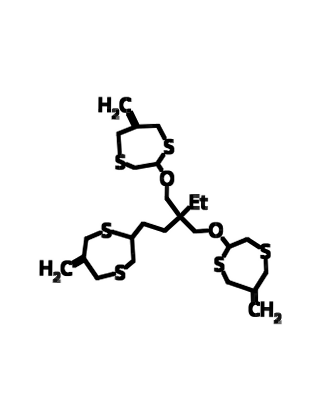 C=C1CSCC(CCC(CC)(COC2CSCC(=C)CS2)COC2CSCC(=C)CS2)SC1